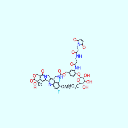 CC[C@@]1(O)C(=O)OCc2c1cc1n(c2=O)Cc2c-1nc1cc(F)c(OC)c(F)c1c2CNC(=O)OCc1ccc(O[C@@H]2O[C@H](C(=O)O)[C@@H](O)[C@H](O)[C@H]2O)c(NC(=O)CCNC(=O)CCN2C(=O)C=CC2=O)c1